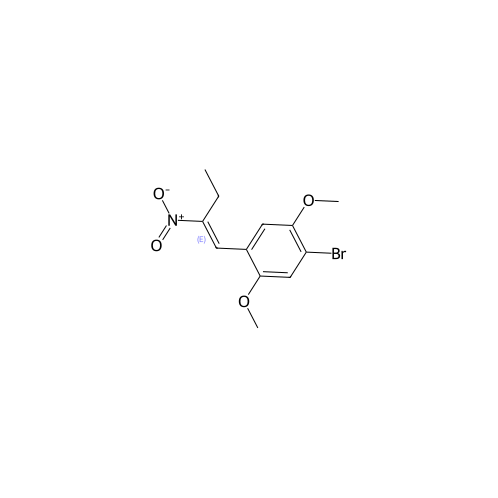 CC/C(=C\c1cc(OC)c(Br)cc1OC)[N+](=O)[O-]